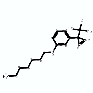 FC(F)(F)C1(c2cccc(OCCCCCCP)c2)N=N1